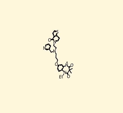 CCN1C(=O)C(C)(C)C(=O)N(C)c2cc(OCCCN(CCn3ccc4sccc4c3=O)Cc3cccnc3)ccc21